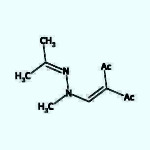 CC(=O)C(=CN(C)N=C(C)C)C(C)=O